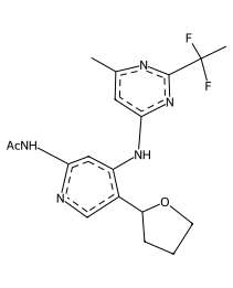 CC(=O)Nc1cc(Nc2cc(C)nc(C(C)(F)F)n2)c(C2CCCO2)cn1